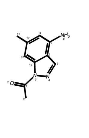 CC(=O)n1ncc2c(N)cc(C)cc21